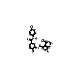 Cc1ccc(C(=O)Nc2ccc(Cl)cc2)cc1OCc1nn(C)c2ncnc(Cl)c12